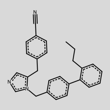 CCCc1ccccc1-c1ccc(Cn2cncc2Cc2ccc(C#N)cc2)cc1